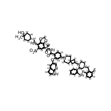 CC(C)c1ccccc1[C@@H]1CN(Cc2c(F)cccc2F)CCN1C1CC2(CCN(c3ccc(C(=O)NS(=O)(=O)c4cc([N+](=O)[O-])c(NC[C@H]5CC[C@](C)(O)CC5)c5c4OCO5)c(Oc4cnc5[nH]ccc5c4)c3)CC2)C1